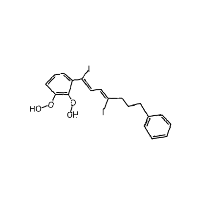 OOc1cccc(C(I)=CC=C(I)CCCc2ccccc2)c1OO